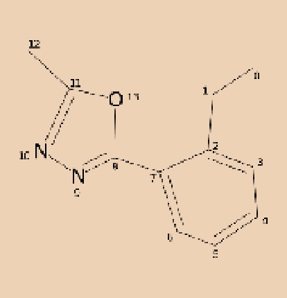 CCc1ccccc1-c1nnc(C)o1